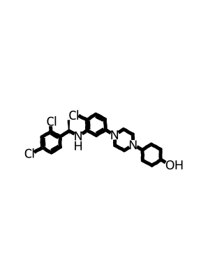 C[C@@H](Nc1cc(N2CCN(C3CCC(O)CC3)CC2)ccc1Cl)c1ccc(Cl)cc1Cl